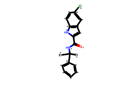 CCC(CC)(NC(=O)c1cc2cc(Cl)ccc2[nH]1)c1ccccc1